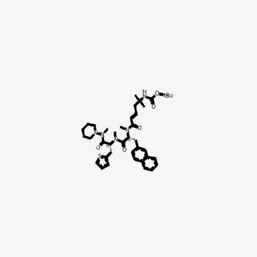 CN(C(=O)C=CCC(C)(C)NC(=O)OC(C)(C)C)[C@H](Cc1ccc2ccccc2c1)C(=O)N(C)[C@H](Cc1cccs1)C(=O)N(C)N1CCCCC1